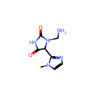 Cn1ccnc1C1C(=O)NC(=O)N1CN